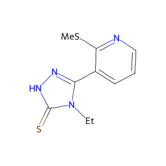 CCn1c(-c2cccnc2SC)n[nH]c1=S